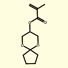 C=C(C)C(=O)OC1COC2(CCCC2)OC1